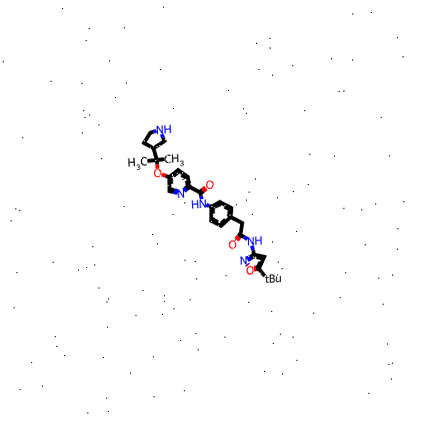 CC(C)(C)c1cc(NC(=O)Cc2ccc(NC(=O)c3ccc(OC(C)(C)C4CCNC4)cn3)cc2)no1